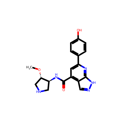 CO[C@H]1CNC[C@@H]1NC(=O)c1cc(-c2ccc(O)cc2)nc2[nH]ncc12